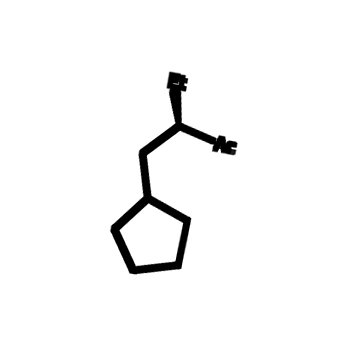 CC[C@H](CC1CCCC1)C(C)=O